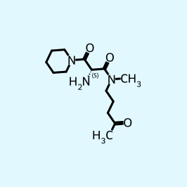 CC(=O)CCCN(C)C(=O)[C@H](N)C(=O)N1CCCCC1